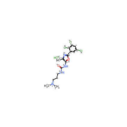 CN(C)CCCNC(=O)Nc1oc(-c2cc(Cl)cc(Cl)c2Cl)nc1C#N.Cl